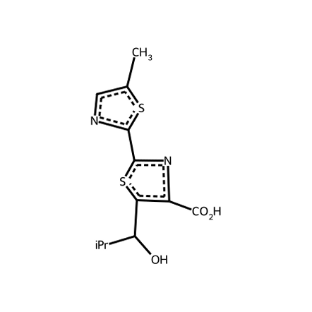 Cc1cnc(-c2nc(C(=O)O)c(C(O)C(C)C)s2)s1